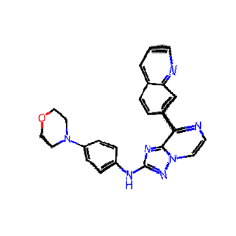 c1cnc2cc(-c3nccn4nc(Nc5ccc(N6CCOCC6)cc5)nc34)ccc2c1